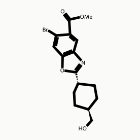 COC(=O)c1cc2nc([C@H]3CC[C@H](CO)CC3)oc2cc1Br